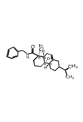 CC(C)C1CC[C@H]2C(=CC[C@@H]3[C@]2(C)CCC[C@@]3(C)C(=O)NCc2ccccc2)C1